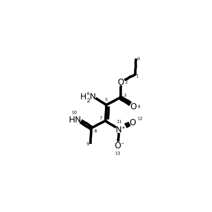 CCOC(=O)/C(N)=C(/C(C)=N)[N+](=O)[O-]